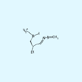 C=BN=CC(CC)CB(C)I